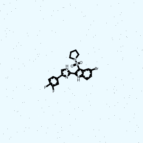 O=S(=O)(c1c(-c2nc(-c3ccc(F)c(F)c3)c[nH]2)[nH]c2ccc(Br)cc12)N1CCCC1